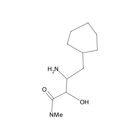 CNC(=O)C(O)C(N)CC1CCCCC1